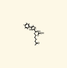 CC(=O)CCCCC[C@H](NC(=O)O)c1ncc(-c2ccccc2)[nH]1